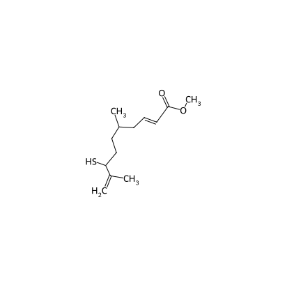 C=C(C)C(S)CCC(C)CC=CC(=O)OC